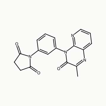 Cc1nc2cccnc2n(-c2cccc(N3C(=O)CCC3=O)c2)c1=O